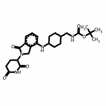 CC(C)(C)OC(=O)NCC1CCC(Nc2cccc3c2CN(C2CCC(=O)NC2=O)C3=O)CC1